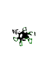 N#Cc1c(Cl)c(Cl)c(Cl)c(Cl)c1Cl